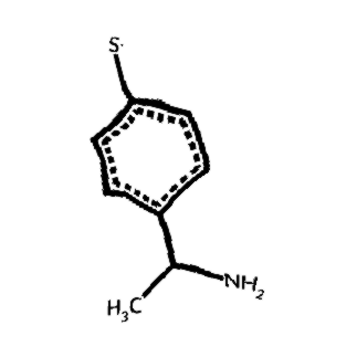 CC(N)c1ccc([S])cc1